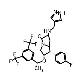 C[C@@H](O[C@H]1CN2C(=O)C(NCc3cn[nH]c3)CC2[C@@H]1c1ccc(F)cc1)c1cc(C(F)(F)F)cc(C(F)(F)F)c1